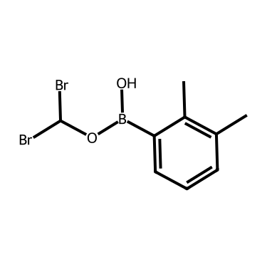 Cc1cccc(B(O)OC(Br)Br)c1C